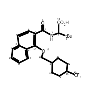 CC(C)(C)C(NC(=O)c1ccc2ccccc2c1OCC1CCC(C(F)(F)F)CC1)C(=O)O